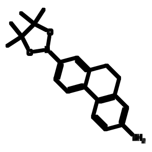 Bc1ccc2c(c1)CCc1cc(B3OC(C)(C)C(C)(C)O3)ccc1-2